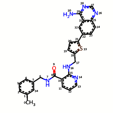 Cc1cccc(CNC(=O)c2cccnc2NCc2ccc(-c3ccc4ncnc(N)c4c3)s2)c1